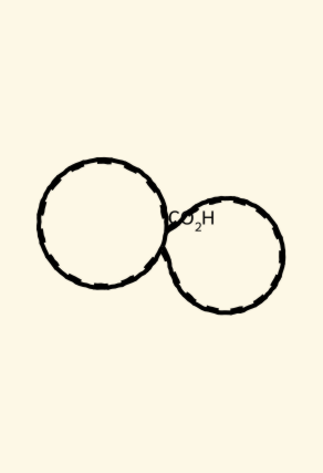 O=C(O)C1=CC=CC=CC=CC=CC=CC=CC=CC=CC=CC=CC=CC=CC2=CC=CC=CC=CC=CC=CC=CC=CC=CC=CC=CC=CC=CC=C21